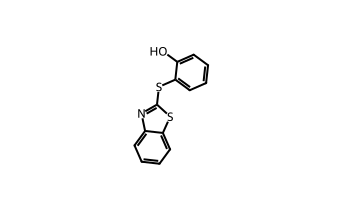 Oc1ccccc1Sc1nc2ccccc2s1